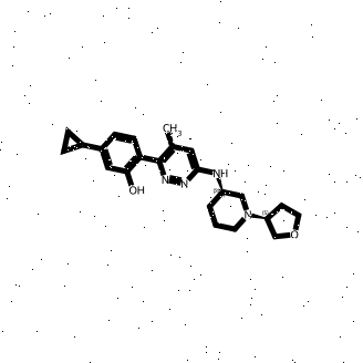 Cc1cc(N[C@@H]2CCCN([C@H]3CCOC3)C2)nnc1-c1ccc(C2CC2)cc1O